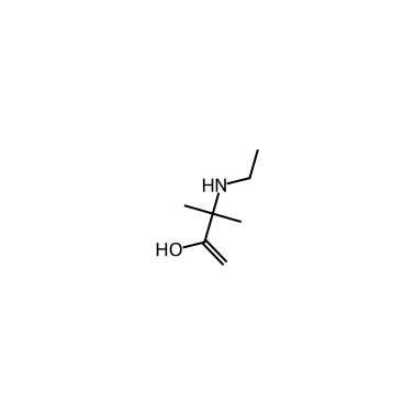 C=C(O)C(C)(C)NCC